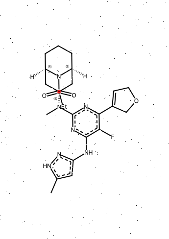 CCS(=O)(=O)N1[C@@H]2CCC[C@H]1C[C@H](N(C)c1nc(Nc3cc(C)[nH]n3)c(F)c(C3=CCOC3)n1)C2